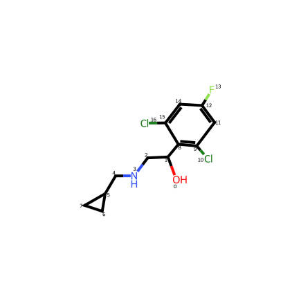 OC(CNCC1CC1)c1c(Cl)cc(F)cc1Cl